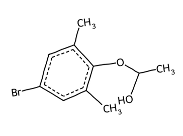 Cc1cc(Br)cc(C)c1OC(C)O